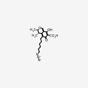 C[C@H]1OC=C2C(O)=C(C(=O)O)C(=O)C(CCCCCCN=[N+]=[N-])=C2[C@@H]1C